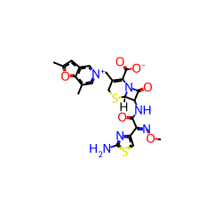 CON=C(C(=O)NC1C(=O)N2C(C(=O)[O-])=C(C[n+]3cc(C)c4oc(C)cc4c3)CS[C@@H]12)c1csc(N)n1